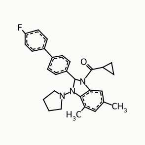 Cc1cc(C)c2c(c1)N(C(=O)C1CC1)C(c1ccc(-c3ccc(F)cc3)cc1)N2N1CCCC1